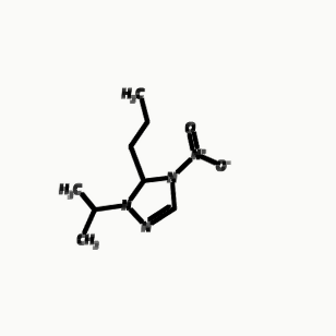 CCCC1N(C(C)C)N=CN1[N+](=O)[O-]